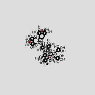 CC1C(CC(OO)c2cc(O)c(O)c(O)c2-c2c(COO)cc(O)c(O)c2O)OC(OC(=O)c2cc(O)c(O)c(Oc3c(C(=O)OC4OC5CCc6cc(O)c(O)c(O)c6-c6c(cc(O)c(O)c6O)CC5C5OC(=O)c6cc(O)c(O)c(O)c6-c6c(cc(O)c(O)c6O)C(=O)OC45)cc(O)c(O)c3O)c2)C(OC(=O)c2cc(O)c(O)c(O)c2)C1OC(=O)c1cc(O)c(O)c(O)c1